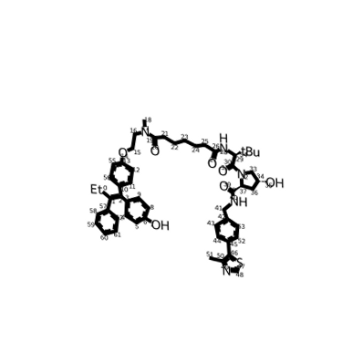 CC/C(=C(/c1ccc(O)cc1)c1ccc(OCCN(C)C(=O)CCCCCC(=O)N[C@H](C(=O)N2C[C@H](O)C[C@H]2C(=O)NCc2ccc(-c3scnc3C)cc2)C(C)(C)C)cc1)c1ccccc1